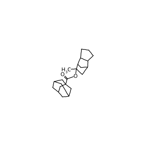 CC1(OC(=O)C23CC4CC(CC(C4)C2)C3)CC2CC1C1CCCC21